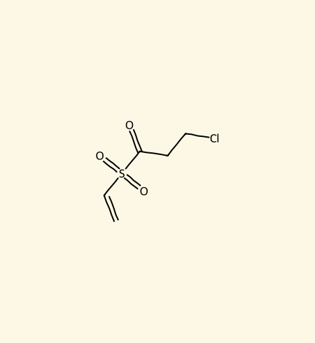 C=CS(=O)(=O)C(=O)CCCl